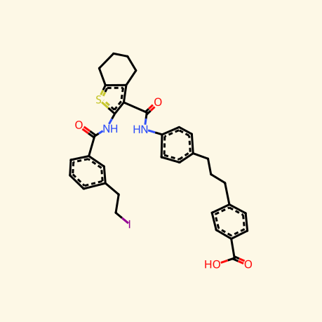 O=C(O)c1ccc(CCCc2ccc(NC(=O)c3c(NC(=O)c4cccc(CCI)c4)sc4c3CCCC4)cc2)cc1